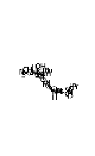 Cc1ncsc1-c1ccc(CNC(=O)[C@@H]2C[C@@H](O)CN2C(=O)[C@@H](NC(=O)COc2cnc(N3CCN(CC(=O)Nc4cc5cc(-c6cnc7c(c6)N(C(=O)OC(C)C)CCO7)ccn5n4)CC3)nc2)C(C)(C)C)cc1